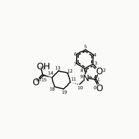 O=c1oc2ccccc2n1C[C@H]1CC[C@H](C(=O)O)CC1